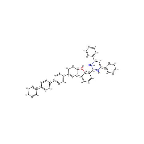 C1=C(c2ccc(-c3ccc(-c4ccccc4)cc3)cc2)CCc2oc3c(C4=NC(c5ccccc5)=CC(c5ccccc5)N4)cccc3c21